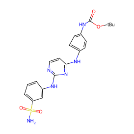 CC(C)(C)OC(=O)Nc1ccc(Nc2ccnc(Nc3cccc(S(N)(=O)=O)c3)n2)cc1